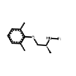 CCN[C@@H](C)COc1c(C)cccc1C